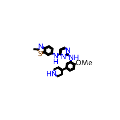 COc1ccc(C2=CCNCC2)cc1Nc1nccc(Nc2ccc3nc(C)sc3c2)n1